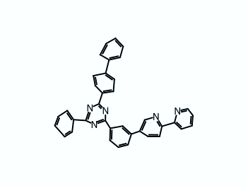 c1ccc(-c2ccc(-c3nc(-c4ccccc4)nc(-c4cccc(-c5ccc(-c6ccccn6)nc5)c4)n3)cc2)cc1